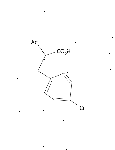 CC(=O)C(Cc1ccc(Cl)cc1)C(=O)O